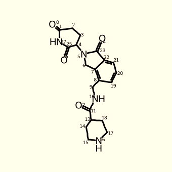 O=C1CCC(N2Cc3c(CNC(=O)C4CCNCC4)cccc3C2=O)C(=O)N1